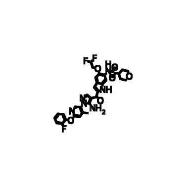 Cc1cc(Oc2ccccc2F)ncc1-n1ncc(C(=O)c2cc3cc(OCC(F)F)c(NS(=O)(=O)C4CCOCC4)cc3[nH]2)c1N